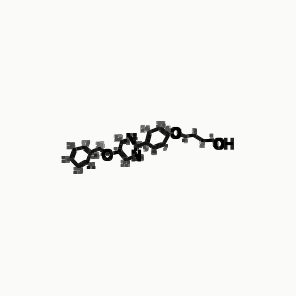 OCCCCOc1ccc(-c2ncc(OCc3ccccc3)cn2)cc1